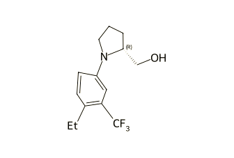 CCc1ccc(N2CCC[C@@H]2CO)cc1C(F)(F)F